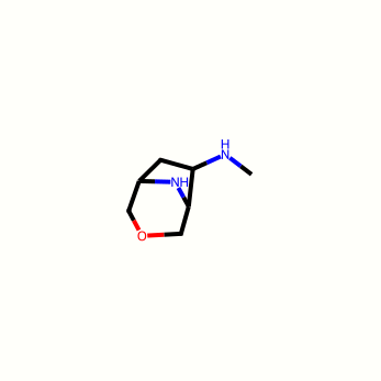 CNC1CC2COCC1N2